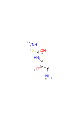 CNSC(O)NCC(=O)CN